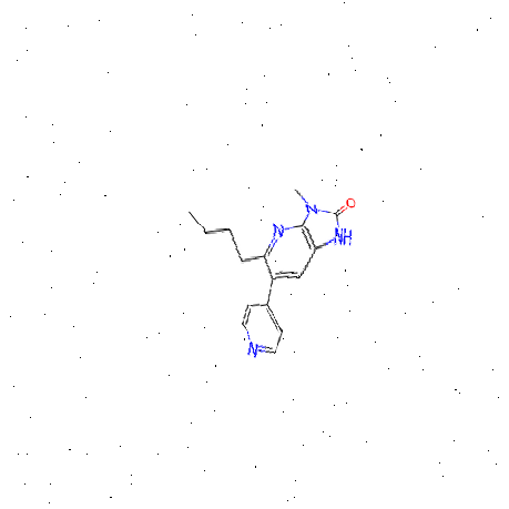 CCCCc1nc2c(cc1-c1ccncc1)[nH]c(=O)n2C